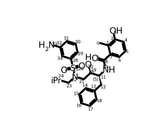 Cc1c(O)cccc1C(=O)N[C@@H](Cc1ccccc1)[C@H](O)CN(CC(C)C)S(=O)(=O)c1cccc(N)c1